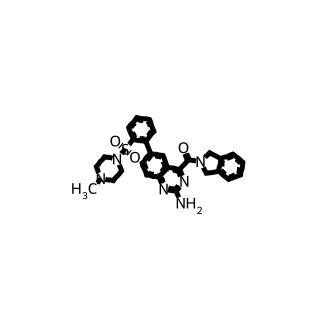 CN1CCN(S(=O)(=O)c2ccccc2-c2ccc3nc(N)nc(C(=O)N4Cc5ccccc5C4)c3c2)CC1